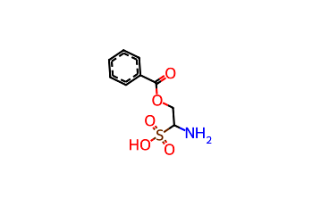 NC(COC(=O)c1ccccc1)S(=O)(=O)O